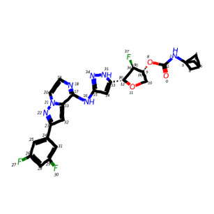 O=C(NC12CC(C1)C2)O[C@@H]1CO[C@H](c2cc(Nc3nccn4nc(-c5cc(F)cc(F)c5)cc34)n[nH]2)[C@H]1F